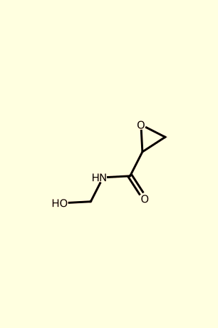 O=C(NCO)C1CO1